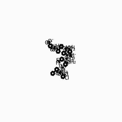 COc1ccccc1N(C(N)=O)c1cc([N+](=O)[O-])ccc1O.NC(=O)N(c1cccc(C(F)(F)F)c1)c1cc([N+](=O)[O-])ccc1O.O=C(Nc1cc([N+](=O)[O-])ccc1O)Nc1ccccc1-c1ccccc1.O=C(Nc1cccc(-c2ccccc2)c1O)Nc1cccc(Cl)c1Cl